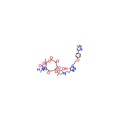 CC[C@H]1OC(=O)[C@H](C)C(=O)[C@H](C)[C@@H](O[C@@H]2O[C@H](C)C[C@H](N(C)CCc3cn(CCCOc4ccc(-c5csnn5)cc4)nn3)[C@H]2O)[C@](C)(OC)CCC(=O)[C@H](C)[C@H]2N(N)C(=O)O[C@]12C